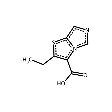 CCc1sc2cncn2c1C(=O)O